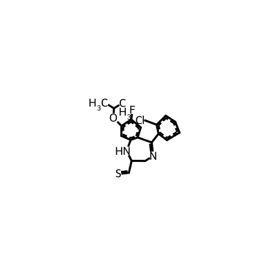 CC(C)Oc1cc2c(cc1F)C(c1ccccc1Cl)=NCC(C=S)N2